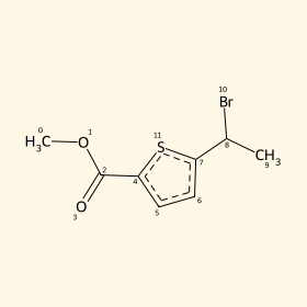 COC(=O)c1ccc(C(C)Br)s1